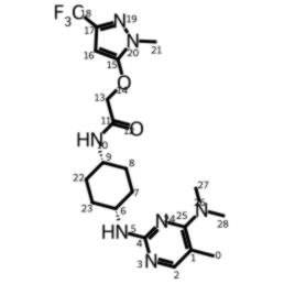 Cc1cnc(N[C@H]2CC[C@@H](NC(=O)COc3cc(C(F)(F)F)nn3C)CC2)nc1N(C)C